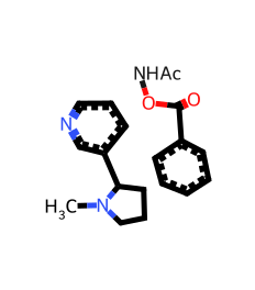 CC(=O)NOC(=O)c1ccccc1.CN1CCCC1c1cccnc1